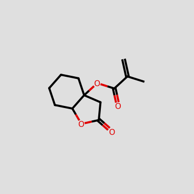 C=C(C)C(=O)OC12CCCCC1OC(=O)C2